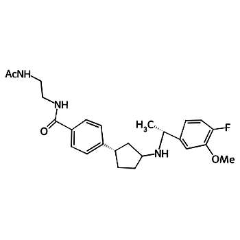 COc1cc([C@@H](C)NC2CC[C@H](c3ccc(C(=O)NCCNC(C)=O)cc3)C2)ccc1F